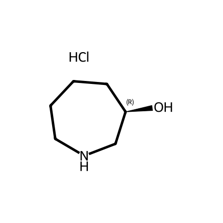 Cl.O[C@@H]1CCCCNC1